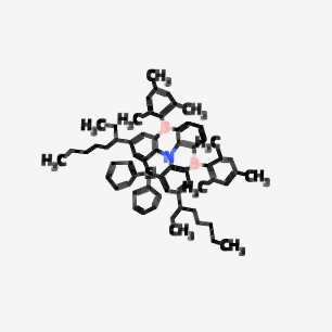 CCCCCC(CC)c1cc2c3c(c1)[Si](c1ccccc1)(c1ccccc1)c1cc(C(CC)CCCCC)cc4c1N3c1c(cccc1B4c1c(C)cc(C)cc1C)B2c1c(C)cc(C)cc1C